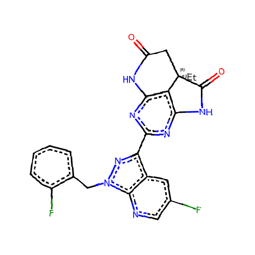 CC[C@@]12CC(=O)Nc3nc(-c4nn(Cc5ccccc5F)c5ncc(F)cc45)nc(c31)NC2=O